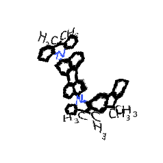 CC1(C)c2ccccc2-c2cc3c(cc21)C(C)(C)c1ccccc1N3c1ccc2c3cccc4c(N5c6ccccc6C(C)(C)c6ccccc65)ccc(c5cccc1c52)c43